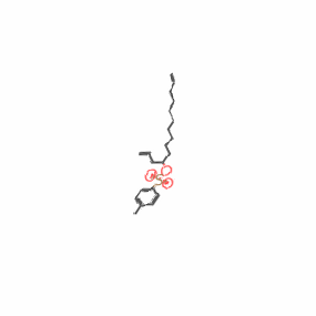 C=CCCCCCCCCC(CC=C)OS(=O)(=O)c1ccc(C)cc1